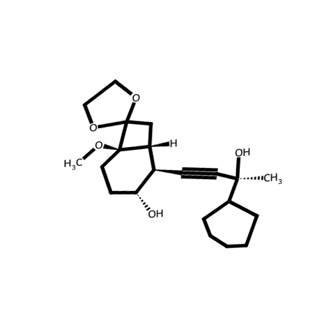 CO[C@]12CC[C@@H](O)[C@H](C#C[C@@](C)(O)C3CCCCC3)[C@H]1CC21OCCO1